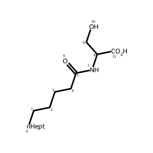 CCCCCCCCCCCC(=O)NC(CO)C(=O)O